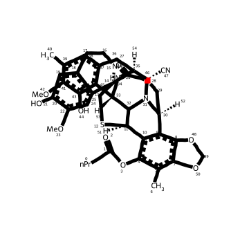 CCCC(=O)Oc1c(C)c2c(c3c1[C@H]1SC[C@]4(NCCc5cc(O)c(OC)cc54)C(=O)OC[C@@H]3N3C1[C@H]1N[C@@H](Cc4cc(C)c(OC)c(O)c41)[C@@H]3C#N)OCO2